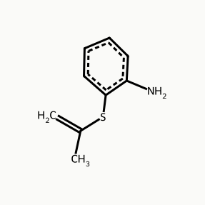 C=C(C)Sc1ccccc1N